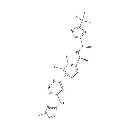 Cc1c([C@H](C)NC(=O)c2noc(C(C)(C)C)n2)ccc(-c2ncnc(Nc3ccn(C)n3)n2)c1F